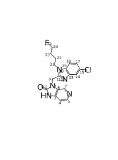 O=c1[nH]c2ccncc2n1Cc1nc2cc(Cl)ccc2n1CCCCF